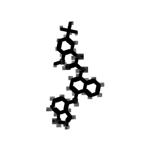 COc1ccc(C(C)(C)C)cc1NC(=O)Nc1ccc(Oc2ccnc3[nH]ncc23)c2ccccc12